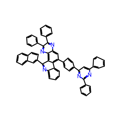 c1ccc(-c2cc(-c3ccc(-c4cc5nc(-c6ccccc6)c(-c6ccccc6)nc5c5c(-c6ccc7ccccc7c6)nc6ccccc6c45)cc3)nc(-c3ccccc3)n2)cc1